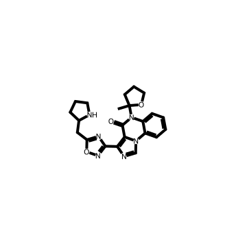 CC1(n2c(=O)c3c(-c4noc(CC5CCCN5)n4)ncn3c3ccccc32)CCCO1